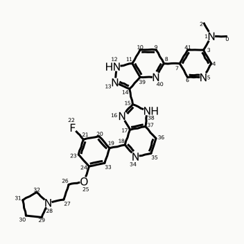 CN(C)c1cncc(-c2ccc3[nH]nc(-c4nc5c(-c6cc(F)cc(OCCN7CCCC7)c6)nccc5[nH]4)c3n2)c1